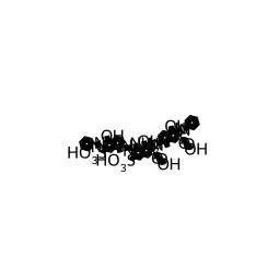 Cc1c(N=Nc2c(SOOO)cc3cc(S(=O)(=O)O)c(N=Nc4ccc5c(O)c(N=Nc6ccccc6)c(S(=O)(=O)O)cc5c4C)c(N)c3c2O)ccc2c(O)c(N=Nc3ccccc3)c(SOOO)cc12